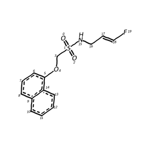 O=S(=O)(COc1cccc2ccccc12)NCC=CF